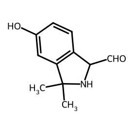 CC1(C)NC(C=O)c2ccc(O)cc21